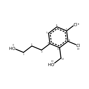 OCCCc1ccc(Cl)c(Cl)c1CO